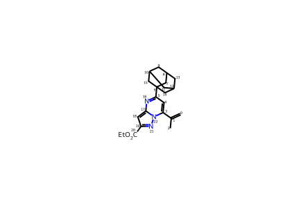 C=C(C)c1cc(C23CC4CC(CC(C4)C2)C3)nc2cc(C(=O)OCC)nn12